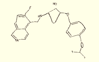 Cl.Fc1ccc2cnccc2c1CNC1CC(Oc2ccc(OC(F)F)cc2)C1